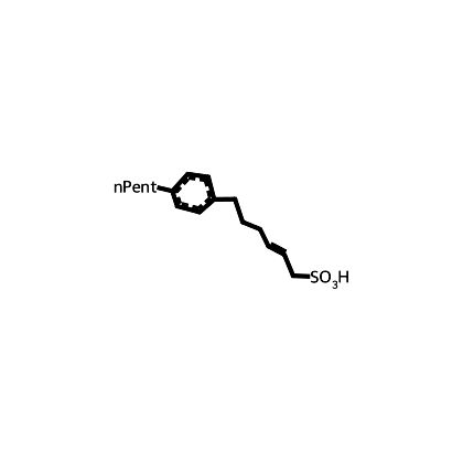 CCCCCc1ccc(CCCC=CCS(=O)(=O)O)cc1